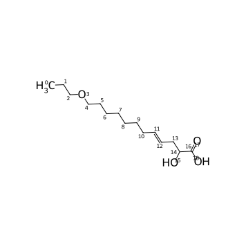 CCCOCCCCCCCC=CCC(O)C(=O)O